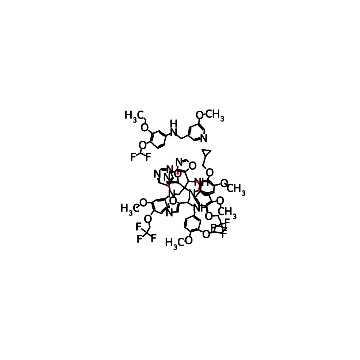 CCOc1cc(NCc2cncc(OC)c2)ccc1OC(F)F.COc1ccc(N(C(Nc2ccc(OC)c(OC3CCC3)c2)c2cnco2)C(CN(c2cncnc2)c2ccc(OCC(F)(F)F)c(OC)c2)(c2cnco2)C(Nc2ccc(OCC(F)(F)F)c(OC)c2)c2cnco2)cc1OCC1CC1